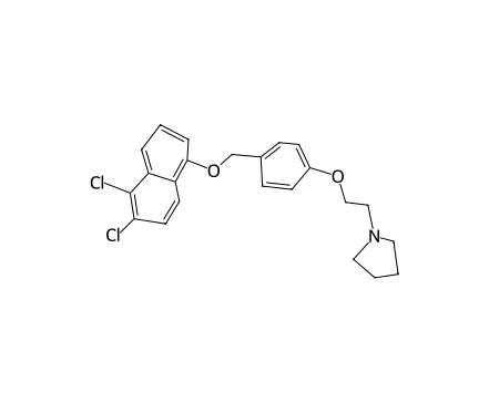 Clc1ccc2c(OCc3ccc(OCCN4CCCC4)cc3)cccc2c1Cl